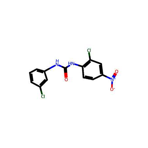 O=C(Nc1cccc(Cl)c1)Nc1ccc([N+](=O)[O-])cc1Cl